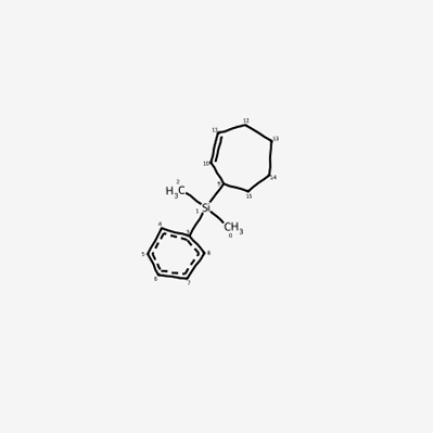 C[Si](C)(c1ccccc1)C1C=CCCCC1